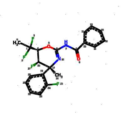 CC(F)(F)[C@H]1OC(NC(=O)c2ccccc2)=N[C@](C)(c2ccccc2F)[C@H]1F